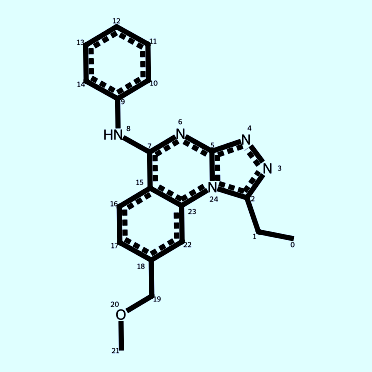 CCc1nnc2nc(Nc3ccccc3)c3ccc(COC)cc3n12